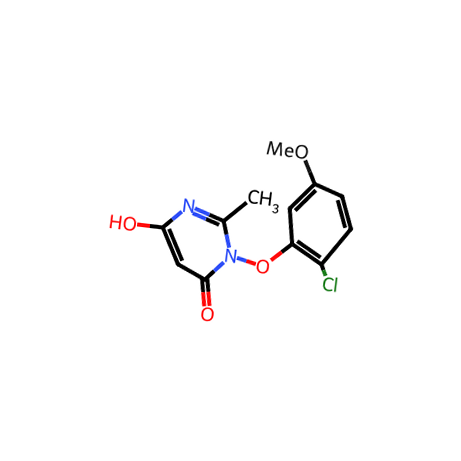 COc1ccc(Cl)c(On2c(C)nc(O)cc2=O)c1